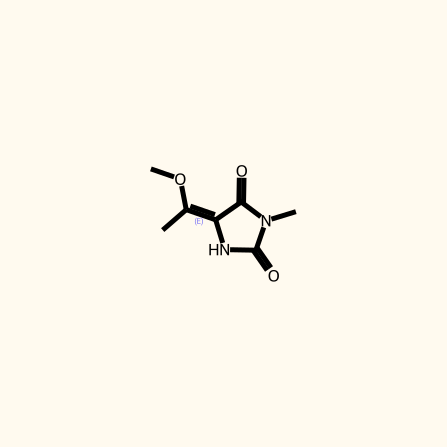 CO/C(C)=C1/NC(=O)N(C)C1=O